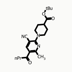 CCCC(=O)c1cc(C#N)c(N2CCC(C(=O)OC(C)(C)C)CC2)nc1C